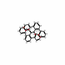 O=C(C(=O)c1c(-c2ccccc2)cccc1-c1ccccc1)c1c(-c2ccccc2)cccc1-c1ccccc1